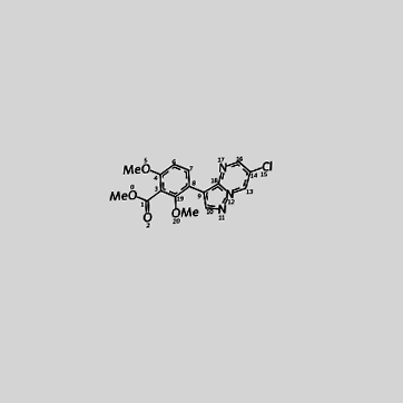 COC(=O)c1c(OC)ccc(-c2cnn3cc(Cl)cnc23)c1OC